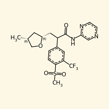 C[C@H]1CO[C@@H](CC(C(=O)Nc2cnccn2)c2ccc(S(C)(=O)=O)c(C(F)(F)F)c2)C1